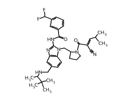 CC(C)C=C(C#N)C(=O)N1CCCC1Cn1c(NC(=O)c2cccc(C(F)F)c2)nc2cc(CNC(C)C(C)(C)C)ccc21